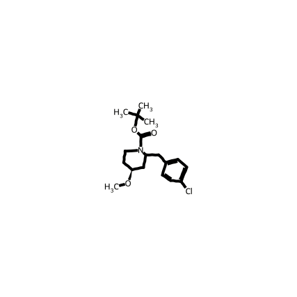 CO[C@H]1CCN(C(=O)OC(C)(C)C)C(Cc2ccc(Cl)cc2)C1